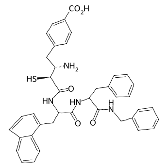 N[C@@H](Cc1ccc(C(=O)O)cc1)[C@H](S)C(=O)NC(Cc1cccc2ccccc12)C(=O)NC(Cc1ccccc1)C(=O)NCc1ccccc1